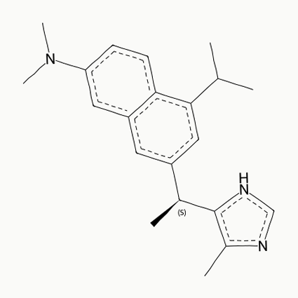 Cc1nc[nH]c1[C@@H](C)c1cc(C(C)C)c2ccc(N(C)C)cc2c1